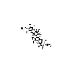 Nc1c(F)c(F)c(Oc2c(F)c(F)c(-c3c(F)c(F)c(Oc4c(F)c(F)c(N)c(F)c4F)c(F)c3F)c(F)c2F)c(F)c1F